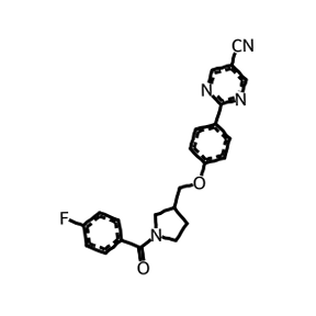 N#Cc1cnc(-c2ccc(OCC3CCN(C(=O)c4ccc(F)cc4)C3)cc2)nc1